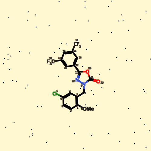 COc1ccc(Cl)cc1Cn1nc(-c2cc(C(F)(F)F)cc(C(F)(F)F)c2)oc1=O